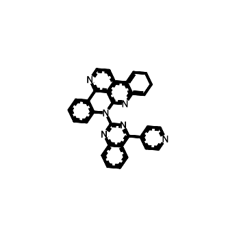 C1=c2nc3c4c(nccc4c2=CCC1)-c1ccccc1N3c1nc(-c2ccncc2)c2ccccc2n1